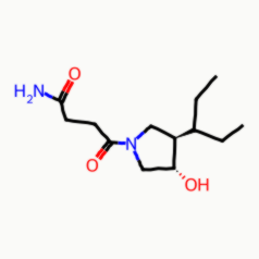 CCC(CC)[C@@H]1CN(C(=O)CCC(N)=O)C[C@H]1O